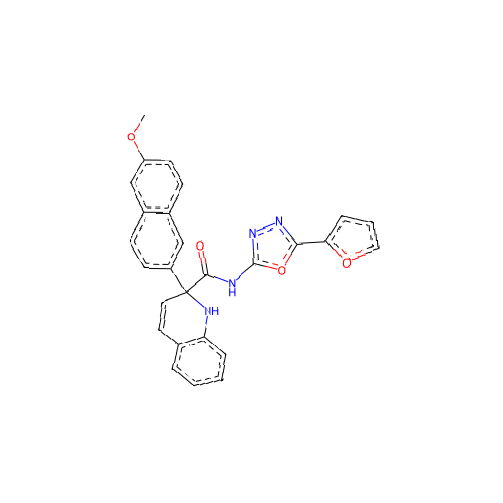 COc1ccc2cc(C3(C(=O)Nc4nnc(-c5ccco5)o4)C=Cc4ccccc4N3)ccc2c1